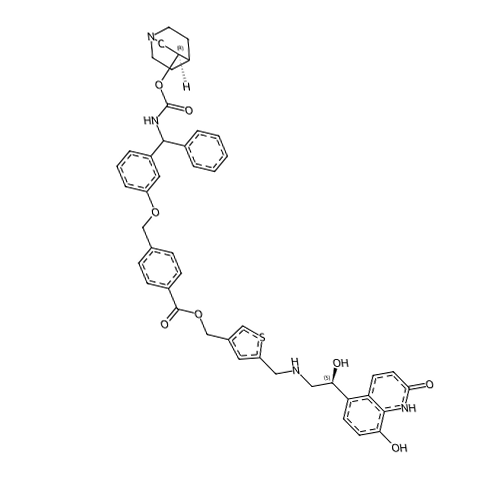 O=C(NC(c1ccccc1)c1cccc(OCc2ccc(C(=O)OCc3csc(CNC[C@@H](O)c4ccc(O)c5[nH]c(=O)ccc45)c3)cc2)c1)O[C@H]1CN2CCC1CC2